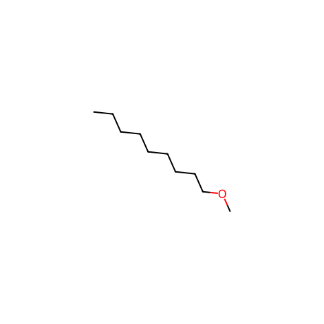 CCCCCCCCCOC